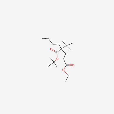 CCCCC(CCC(=O)OCC)(C(=O)OC(C)(C)C)C(C)(C)C